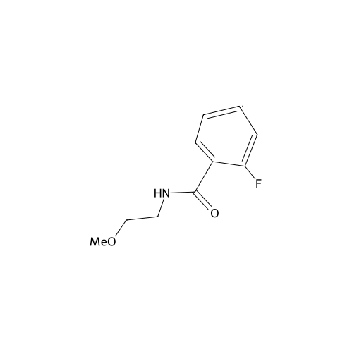 COCCNC(=O)c1cc[c]cc1F